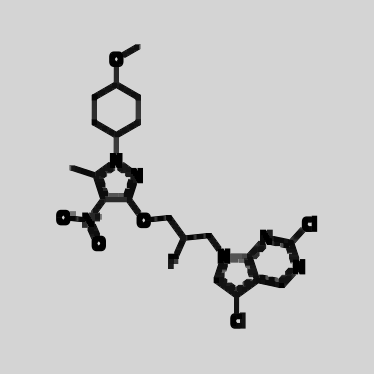 COC1CCC(n2nc(OCC(F)Cn3cc(Cl)c4cnc(Cl)nc43)c([N+](=O)[O-])c2C)CC1